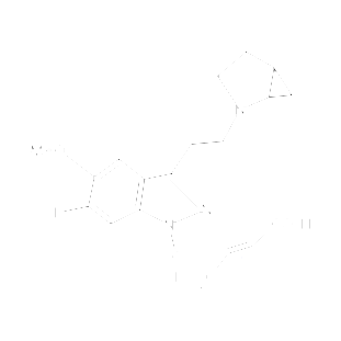 COc1cc2c(CCN3CCC4CC43)nn(C)c2cc1F.O=C(O)/C=C/C(=O)O